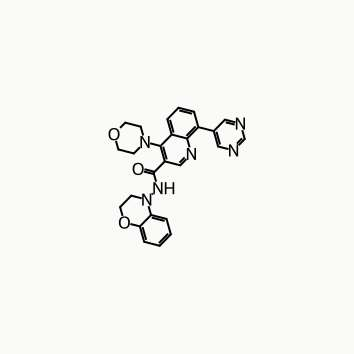 O=C(NN1CCOc2ccccc21)c1cnc2c(-c3cncnc3)cccc2c1N1CCOCC1